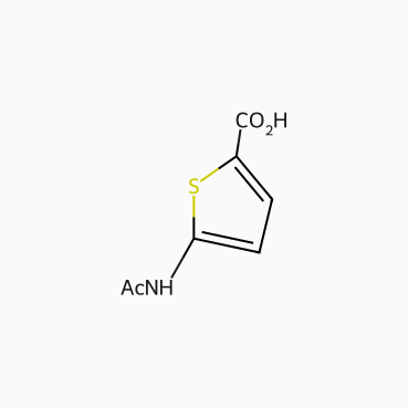 CC(=O)Nc1ccc(C(=O)O)s1